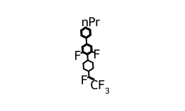 CCCc1ccc(-c2cc(F)c(C3CCC(/C(F)=C/C(F)(F)F)CC3)c(F)c2)cc1